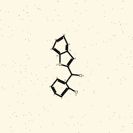 Clc1ccccc1C(Cl)c1cc2ccccc2o1